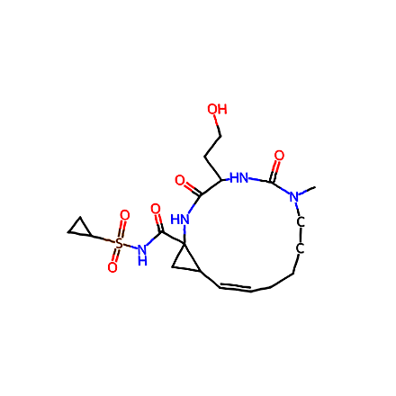 CN1CCCCC=CC2CC2(C(=O)NS(=O)(=O)C2CC2)NC(=O)C(CCO)NC1=O